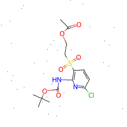 CC(=O)OCCS(=O)(=O)c1ccc(Cl)nc1NC(=O)OC(C)(C)C